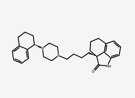 O=C1Nc2cccc3c2[C@@]1(CCCCN1CCN([C@@H]2CCCc4ccccc42)CC1)CCC3